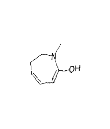 CN1CCC=CC=C1O